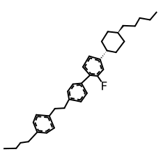 CCCCC[C@H]1CC[C@H](c2ccc(-c3ccc(CCc4ccc(CCCC)cc4)cc3)c(F)c2)CC1